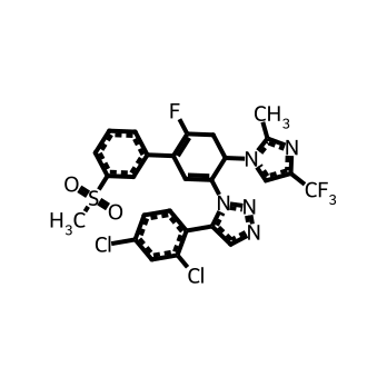 Cc1nc(C(F)(F)F)cn1C1CC(F)=C(c2cccc(S(C)(=O)=O)c2)C=C1n1nncc1-c1ccc(Cl)cc1Cl